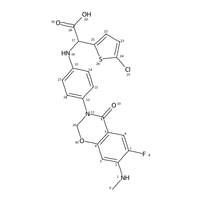 CNc1cc2c(cc1F)C(=O)N(c1ccc(NC(C(=O)O)c3ccc(Cl)s3)cc1)CO2